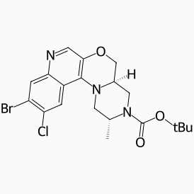 C[C@@H]1CN2c3c(cnc4cc(Br)c(Cl)cc34)OC[C@H]2CN1C(=O)OC(C)(C)C